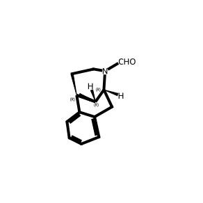 O=CN1CC[C@]23CCCC[C@H]2[C@H]1Cc1ccccc13